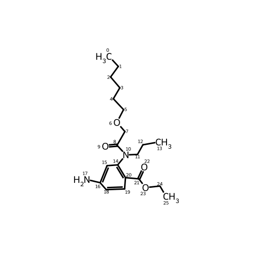 CCCCCCOCC(=O)N(CCC)c1cc(N)ccc1C(=O)OCC